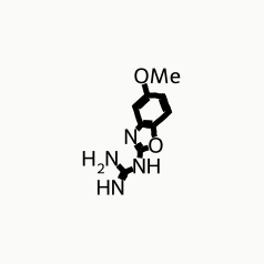 COc1ccc2oc(NC(=N)N)nc2c1